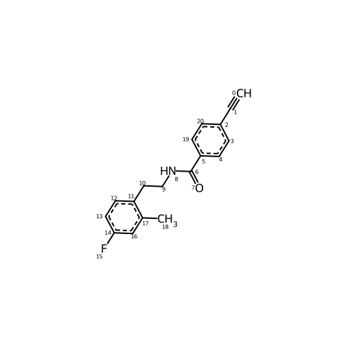 C#Cc1ccc(C(=O)NCCc2ccc(F)cc2C)cc1